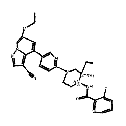 CCOc1cc(-c2ccc(N3CC[Si@H](NC(=O)c4ncccc4Cl)[C@](O)(CC)C3)nc2)c2c(C#N)cnn2c1